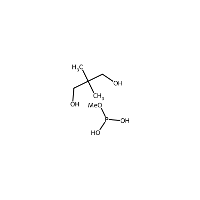 CC(C)(CO)CO.COP(O)O